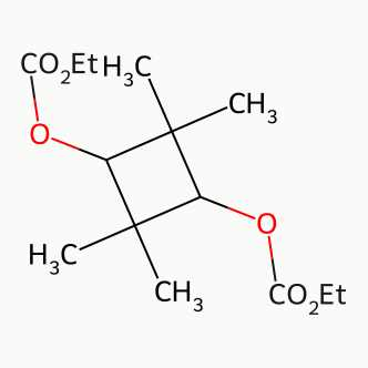 CCOC(=O)OC1C(C)(C)C(OC(=O)OCC)C1(C)C